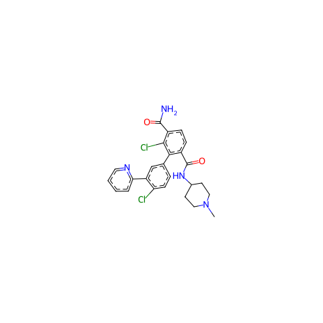 CN1CCC(NC(=O)c2ccc(C(N)=O)c(Cl)c2-c2ccc(Cl)c(-c3ccccn3)c2)CC1